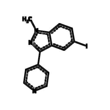 Cn1nc(-c2ccncc2)c2cc(I)ccc21